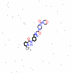 O=C(Nc1ccc2nn(CC(=O)N3CCN(C(=O)N4CCOCC4)CC3)cc2c1)c1cccc(C(F)(F)F)n1